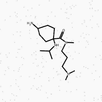 CC(C)NC1(C(=O)N(C)CCCN(C)C)CCC(N)CC1